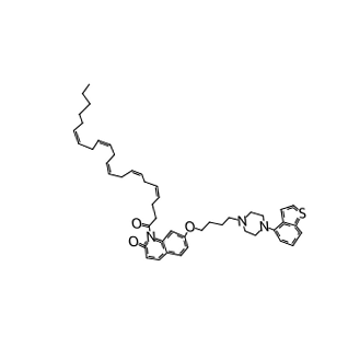 CCCCC/C=C\C/C=C\C/C=C\C/C=C\C/C=C\CCC(=O)n1c(=O)ccc2ccc(OCCCCN3CCN(c4cccc5sccc45)CC3)cc21